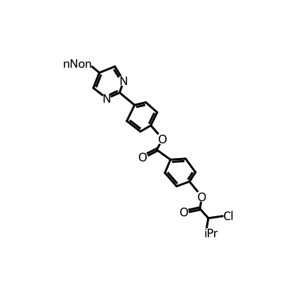 CCCCCCCCCc1cnc(-c2ccc(OC(=O)c3ccc(OC(=O)C(Cl)C(C)C)cc3)cc2)nc1